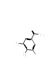 NC(=O)c1cc(F)c(N)c([N+](=O)[O-])c1